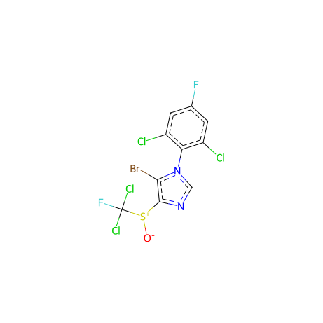 [O-][S+](c1ncn(-c2c(Cl)cc(F)cc2Cl)c1Br)C(F)(Cl)Cl